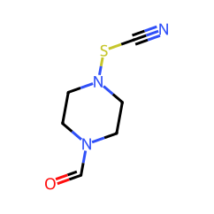 N#CSN1CCN(C=O)CC1